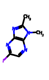 Cc1nc2nc(I)cnc2n1C